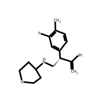 C=C(C(C)C)[C@H](CNC1CCOCC1)c1ccc(C)c(F)c1